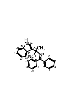 CC(C#N)(N=C(c1ccccc1)c1ccccc1)c1c[nH]c2ccccc12